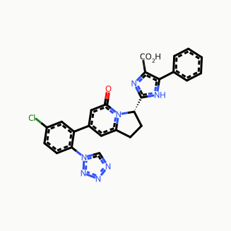 O=C(O)c1nc([C@@H]2CCc3cc(-c4cc(Cl)ccc4-n4cnnn4)cc(=O)n32)[nH]c1-c1ccccc1